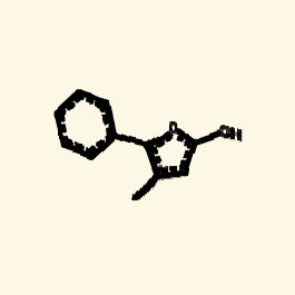 Cc1cc(O)oc1-c1ccccc1